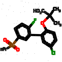 CCCS(=O)(=O)c1ccc(F)c(-c2cc(Cl)ccc2OC(C)(C)C(=O)O)c1